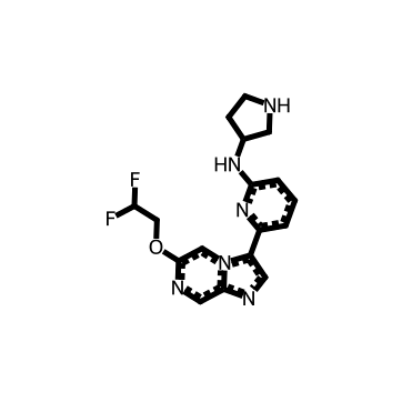 FC(F)COc1cn2c(-c3cccc(NC4CCNC4)n3)cnc2cn1